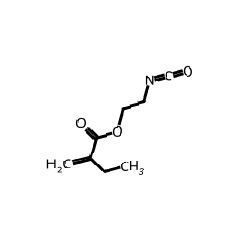 C=C(CC)C(=O)OCCN=C=O